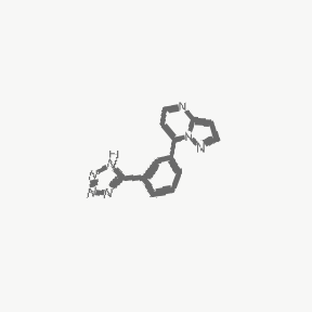 c1cc(-c2nnn[nH]2)cc(-c2ccnc3ccnn23)c1